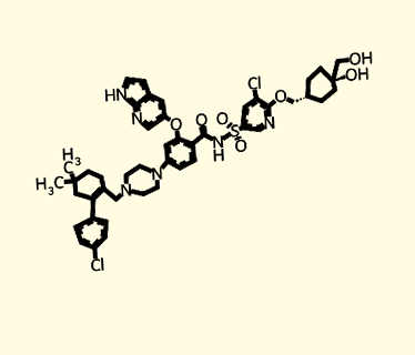 CC1(C)CCC(CN2CCN(c3ccc(C(=O)NS(=O)(=O)c4cnc(OC[C@H]5CC[C@@](O)(CO)CC5)c(Cl)c4)c(Oc4cnc5[nH]ccc5c4)c3)CC2)=C(c2ccc(Cl)cc2)C1